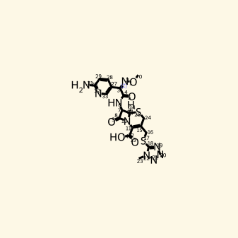 CO/N=C(\C(=O)NC1C(=O)N2C(C(=O)O)=C(CSc3nnnn3C)CS[C@H]12)c1ccc(N)nc1